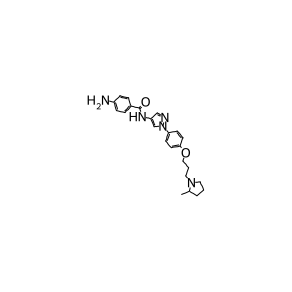 CC1CCCN1CCCOc1ccc(-n2cc(NC(=O)c3ccc(N)cc3)cn2)cc1